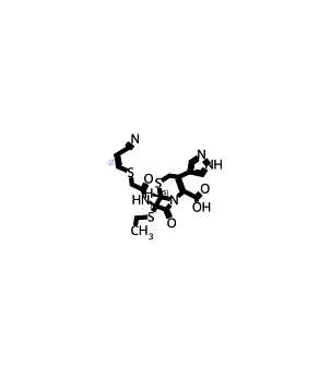 CCS[C@@]1(NC(=O)CS/C=C\C#N)C(=O)N2C(C(=O)O)=C(c3cn[nH]c3)CS[C@H]21